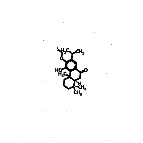 CC(C)c1cc2c(c(O)c1OCI)[C@@]1(C)CCCC(C)(C)[C@@H]1CC2=O